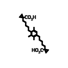 Cc1cc(CCCCCC2(C(=O)O)CC2)c(C)c(C)c1CCCCCC1(C(=O)O)CC1